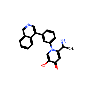 CC(N)c1cc(=O)c(O)cn1-c1cccc(-c2cncc3ccccc23)c1